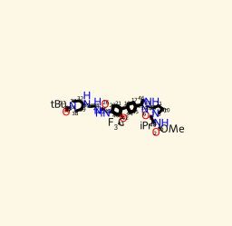 COC(=O)NC(C(=O)N1C[C@@H](C)C[C@H]1c1nc(-c2ccc(-c3ccc(NC(=O)NCCNC4CCN(C(=O)C(C)(C)C)CC4)cc3OC(F)(F)F)cc2)c[nH]1)C(C)C